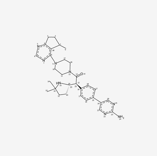 CC1CCc2ncnc(N3CCN(C(=O)[C@@H](c4ccc(-c5cnc(N)nc5)cc4)[C@@H]4CCC(C)(C)N4)CC3)c21